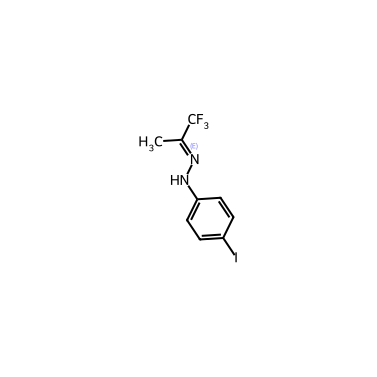 C/C(=N\Nc1ccc(I)cc1)C(F)(F)F